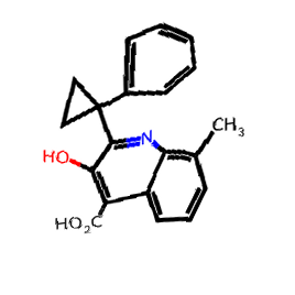 Cc1cccc2c(C(=O)O)c(O)c(C3(c4ccccc4)CC3)nc12